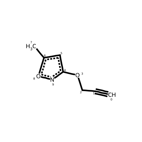 C#CCOc1cc(C)on1